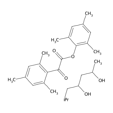 CC(C)CC(O)CC(C)O.Cc1cc(C)c(OC(=O)C(=O)c2c(C)cc(C)cc2C)c(C)c1